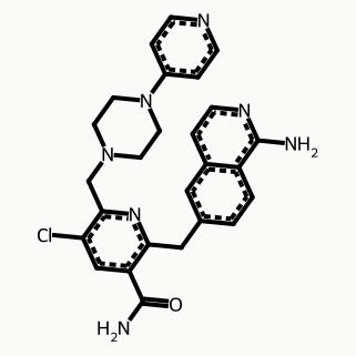 NC(=O)c1cc(Cl)c(CN2CCN(c3ccncc3)CC2)nc1Cc1ccc2c(N)nccc2c1